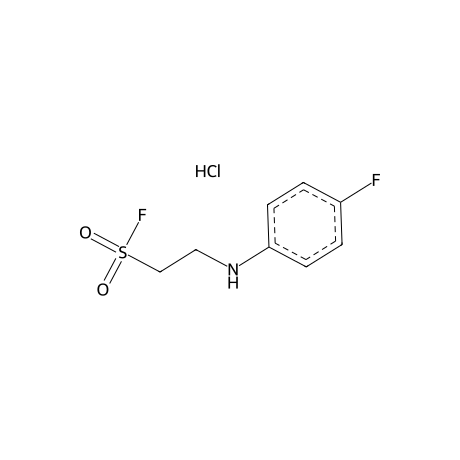 Cl.O=S(=O)(F)CCNc1ccc(F)cc1